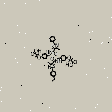 CCc1ccc(-c2nc(C)c(C(=O)NCc3ccc(OC(C)(C)C(=O)O)cc3)s2)cc1.Cc1nc(-c2ccccc2)sc1C(=O)NCc1ccc(OC(C)(C)C(=O)O)cc1